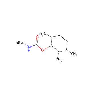 CCCCNC(=O)OC1C(C)CCC(C)C1C